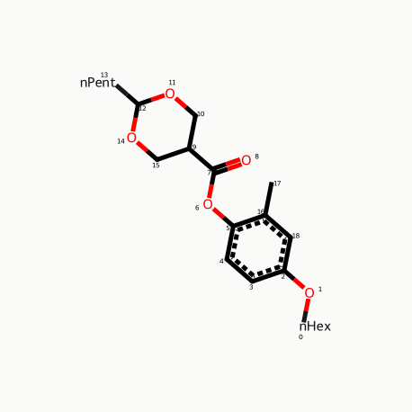 CCCCCCOc1ccc(OC(=O)C2COC(CCCCC)OC2)c(C)c1